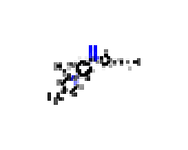 Cc1cc(NC2CC(C(=O)O)C2)ccc1N1CCC(C(F)(F)F)CC1